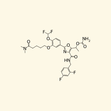 CC(OC(N)=O)c1oc(-c2ccc(OC(F)F)c(OCCCCC(=O)N(C)C)c2)nc1C(=O)NCc1ccc(F)cc1F